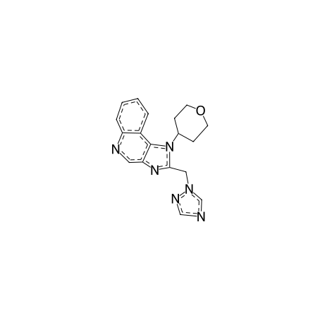 c1ccc2c(c1)ncc1nc(Cn3cncn3)n(C3CCOCC3)c12